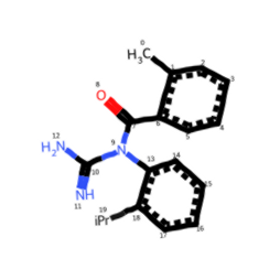 Cc1ccccc1C(=O)N(C(=N)N)c1ccccc1C(C)C